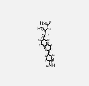 CNc1ccc(-c2ccc3cc(OCC(O)CC(C)S)ccc3n2)cn1